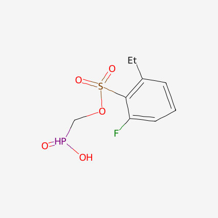 CCc1cccc(F)c1S(=O)(=O)OC[PH](=O)O